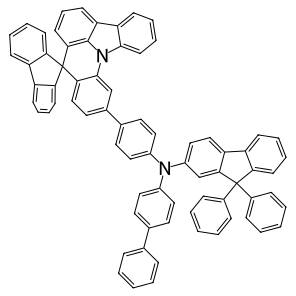 c1ccc(-c2ccc(N(c3ccc(-c4ccc5c(c4)-n4c6ccccc6c6cccc(c64)C54c5ccccc5-c5ccccc54)cc3)c3ccc4c(c3)C(c3ccccc3)(c3ccccc3)c3ccccc3-4)cc2)cc1